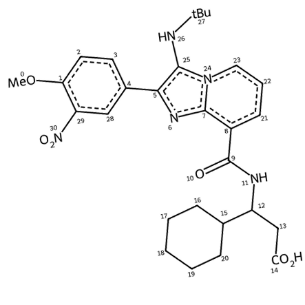 COc1ccc(-c2nc3c(C(=O)NC(CC(=O)O)C4CCCCC4)cccn3c2NC(C)(C)C)cc1[N+](=O)[O-]